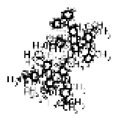 Cc1cccc(C)c1-c1nc2cc(C(C)(C)C)cc3c2n1-c1cc(CCC(C)(C)c2cc4c5c(c2)nc(-c2c(C)cc(C(C)(C)C)cc2C)n5-c2cc(C(C)(C)C)cc5c2B4c2ccc(C(C)(C)C)cc2N5c2ccc(C(C)(C)C)cc2)cc2c1B3c1ccc(-n3c4ccccc4c4ccccc43)cc1N2c1ccc(C(C)(C)C)cc1